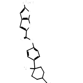 CCCCCc1cc2cc(C(=O)Oc3ccc(C4(C#N)CCC(CCC)CC4)cc3)sc2s1